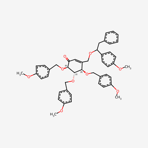 COc1ccc(CO[C@H]2[C@H](OCc3ccc(OC)cc3)C(COC(Cc3ccccc3)c3ccc(OC)cc3)=CC(=O)[C@@H]2OCc2ccc(OC)cc2)cc1